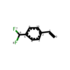 C=Cc1ccc(C(F)F)cc1